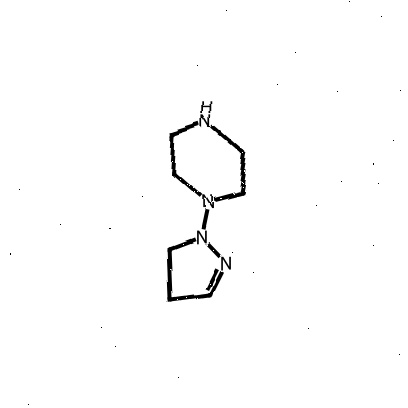 C1=NN(N2CCNCC2)CC1